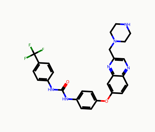 O=C(Nc1ccc(Oc2ccc3ncc(CN4CCNCC4)nc3c2)cc1)Nc1ccc(C(F)(F)F)cc1